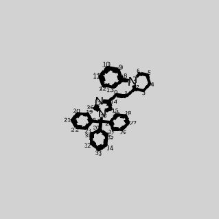 C(=CC1CCCCN1c1ccccc1)c1cn(C(c2ccccc2)(c2ccccc2)c2ccccc2)cn1